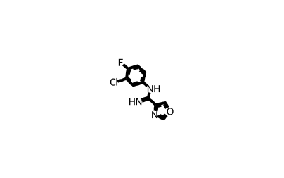 N=C(Nc1ccc(F)c(Cl)c1)c1cocn1